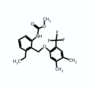 CCc1cccc(NC(=O)OC)c1COc1cc(C)c(C)cc1C(F)(F)F